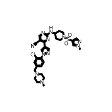 CN1CCN(Cc2ccc(-n3cc(-c4nc(NC5CCN(S(=O)(=O)c6cnn(C)c6)CC5)ncc4C#N)cn3)c(Cl)c2)CC1